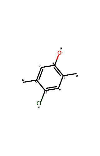 Cc1cc(Cl)c(C)cc1[O]